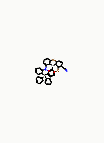 N#Cc1ccc2c3c1Sc1ccccc1B3c1c(cccc1N1c3ccccc3[Si](c3ccccc3)(c3ccccc3)c3ccccc31)S2